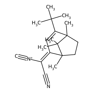 [C-]#[N+]/C(C#N)=C1\C=C(C(C)(C)C)C2(C)CCC1(C)C2(C)C